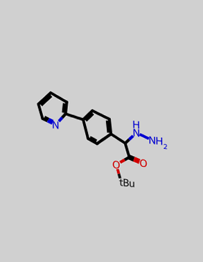 CC(C)(C)OC(=O)C(NN)c1ccc(-c2ccccn2)cc1